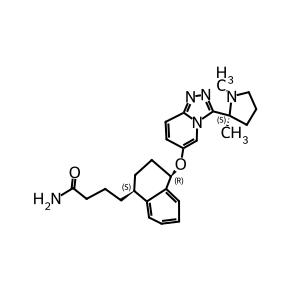 CN1CCC[C@@]1(C)c1nnc2ccc(O[C@@H]3CC[C@H](CCCC(N)=O)c4ccccc43)cn12